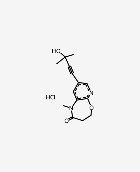 CN1C(=O)CCOc2ncc(C#CC(C)(C)O)cc21.Cl